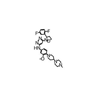 COc1cc(Nc2cc(N3OCCC3c3cc(F)ccc3F)ncn2)ccc1N1CCC(N2CCN(C)CC2)CC1